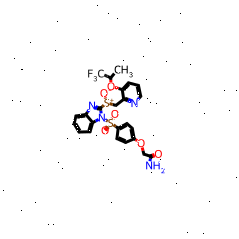 CC(Oc1cccnc1C[S+]([O-])c1nc2ccccc2n1S(=O)(=O)c1ccc(OCC(N)=O)cc1)C(F)(F)F